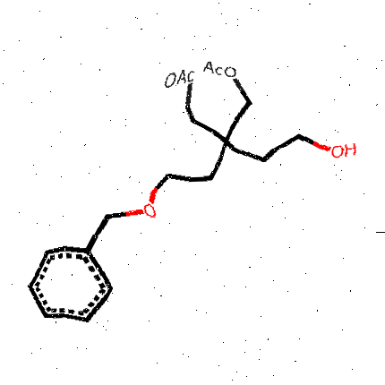 CC(=O)OCC(CCO)(CCOCc1ccccc1)COC(C)=O